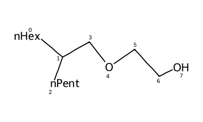 CCCCCCC(CCCCC)COCCO